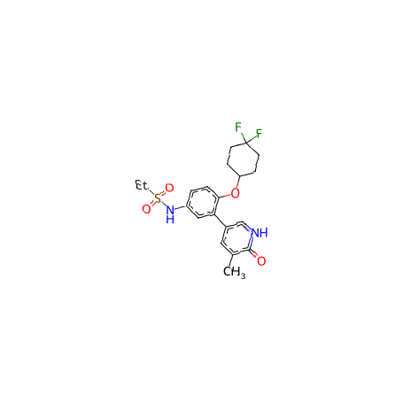 CCS(=O)(=O)Nc1ccc(OC2CCC(F)(F)CC2)c(-c2c[nH]c(=O)c(C)c2)c1